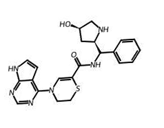 O=C(NC(c1ccccc1)[C@H]1C[C@@H](O)CN1)C1=CN(c2ncnc3[nH]ccc23)CCS1